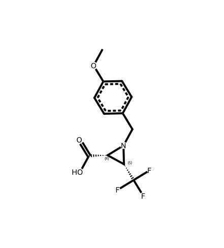 COc1ccc(CN2[C@H](C(F)(F)F)[C@@H]2C(=O)O)cc1